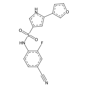 N#Cc1ccc(NS(=O)(=O)c2c[nH]c(-c3ccoc3)c2)c(F)c1